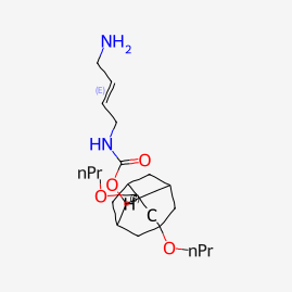 CCCO[C@H]1CC2(OCCC)CC3CC1CC(C2)C3OC(=O)NC/C=C/CN